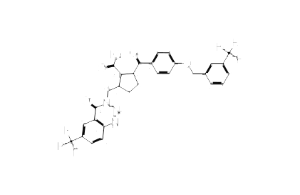 O=C(c1ccc(OCc2cccc(C(F)(F)F)c2)cc1)C1CCC(Cn2nnc3ccc(C(F)(F)F)cc3c2=O)C1C(=O)O